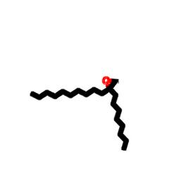 CCCCCCCCCCC1(CCCCCCCC)[CH]O1